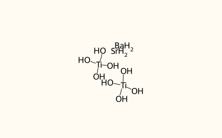 [BaH2].[OH][Ti]([OH])([OH])[OH].[OH][Ti]([OH])([OH])[OH].[SrH2]